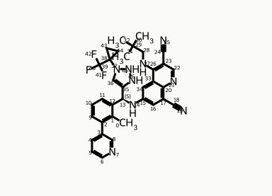 Cc1c(-c2cccnc2)cccc1[C@H](Nc1cc(C#N)c2ncc(C#N)c(NCC(C)(C)C)c2c1)C1=CN(C2(C(F)(F)F)CC2)NN1